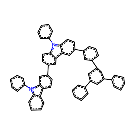 c1ccc(-c2cc(-c3ccccc3)cc(-c3cccc(-c4ccc5c(c4)c4cc(-c6ccc7c8ccccc8n(-c8ccccc8)c7c6)ccc4n5-c4ccccc4)c3)c2)cc1